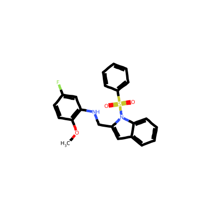 COc1ccc(F)cc1NCc1cc2ccccc2n1S(=O)(=O)c1ccccc1